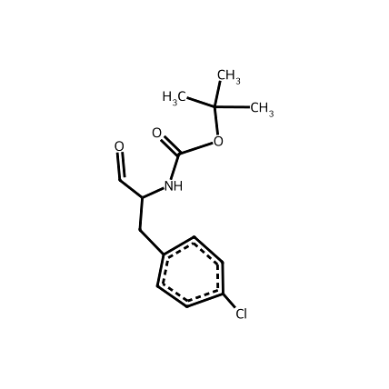 CC(C)(C)OC(=O)NC(C=O)Cc1ccc(Cl)cc1